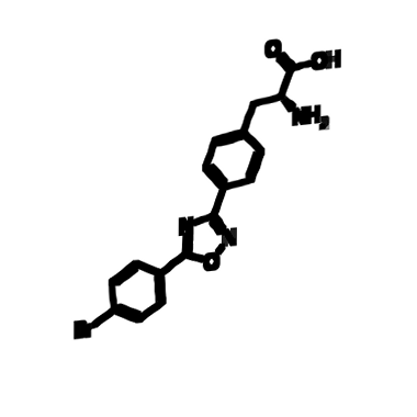 N[C@@H](Cc1ccc(-c2noc(-c3ccc(Br)cc3)n2)cc1)C(=O)O